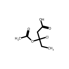 CCC(Cl)(CC(=O)O)OC(C)=O